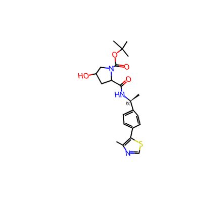 Cc1ncsc1-c1ccc([C@H](C)NC(=O)C2CC(O)CN2C(=O)OC(C)(C)C)cc1